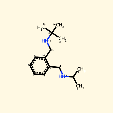 CC(C)NCc1ccccc1CNC(C)(C)C